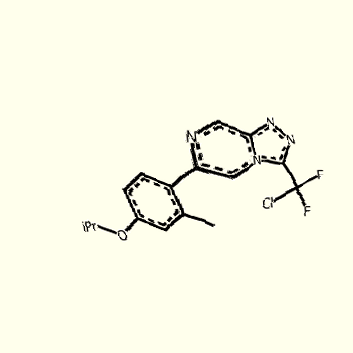 Cc1cc(OC(C)C)ccc1-c1cn2c(C(F)(F)Cl)nnc2cn1